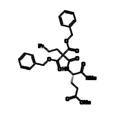 CNC(=O)[C@H](CCC(=O)OC)NC(=O)C(CCC(C)C)(C(=O)OCc1ccccc1)C(=O)OCc1ccccc1